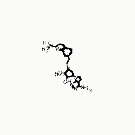 CN(C)c1ccc2ccc(CC[C@H]3C[C@@H](n4ccc5c(N)ncnc54)[C@H](O)[C@@H]3O)cc2n1